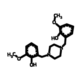 COc1cccc(CN2CCN(Cc3cccc(OC)c3O)CC2)c1O